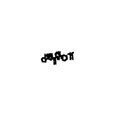 CNC[C@@H]1CCCN(c2nccc(Nc3cc(C4CCCC4)[nH]n3)n2)C1